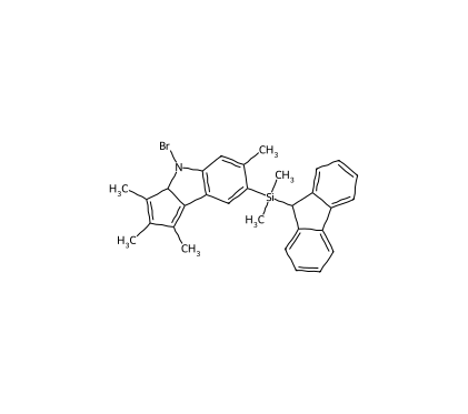 CC1=C(C)C2C(=C1C)c1cc([Si](C)(C)C3c4ccccc4-c4ccccc43)c(C)cc1N2Br